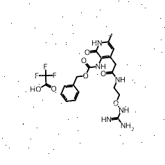 Cc1cc(CC(=O)NCCONC(=N)N)c(NC(=O)OCc2ccccc2)c(=O)[nH]1.O=C(O)C(F)(F)F